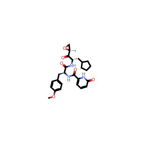 COc1ccc(C[C@H](NC(=O)c2cccc(=O)[nH]2)C(=O)N[C@@H](CC2CCCC2)C(=O)[C@]2(C)CO2)cc1